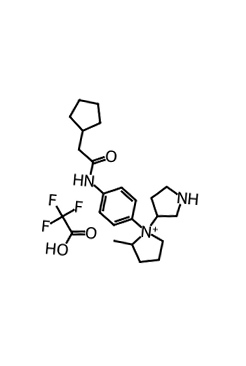 CC1CCC[N+]1(c1ccc(NC(=O)CC2CCCC2)cc1)C1CCNC1.O=C(O)C(F)(F)F